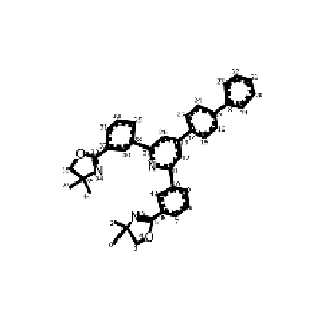 CC1(C)COC(c2cccc(-c3cc(-c4ccc(-c5ccccc5)cc4)cc(-c4cccc(C5=NC(C)(C)CO5)c4)n3)c2)=N1